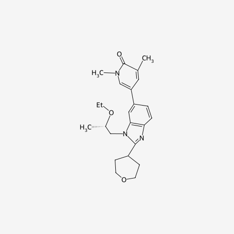 CCO[C@@H](C)Cn1c(C2CCOCC2)nc2ccc(-c3cc(C)c(=O)n(C)c3)cc21